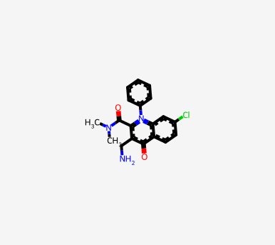 CN(C)C(=O)c1c(CN)c(=O)c2ccc(Cl)cc2n1-c1ccccc1